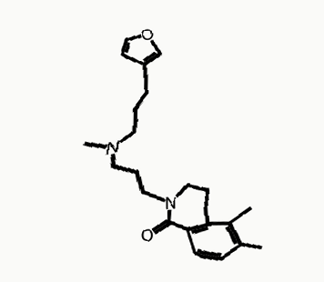 Cc1ccc2c(c1C)CCN(CCCN(C)CCCc1ccoc1)C2=O